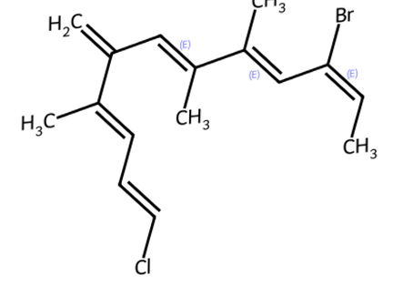 C=C(/C=C(C)/C(C)=C/C(Br)=C\C)C(C)=CC=CCl